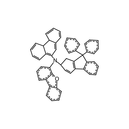 C1=CC2=CC(N(c3cccc4c3oc3ccccc34)C3C=CC4=C(C3)C(c3ccccc3)(c3ccccc3)c3ccccc34)=C3C=CC=CC3C2C=C1